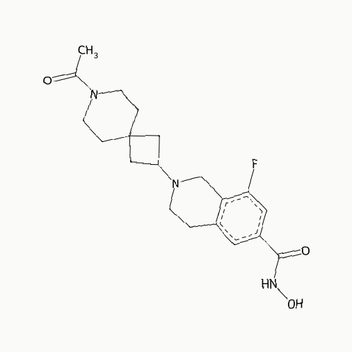 CC(=O)N1CCC2(CC1)CC(N1CCc3cc(C(=O)NO)cc(F)c3C1)C2